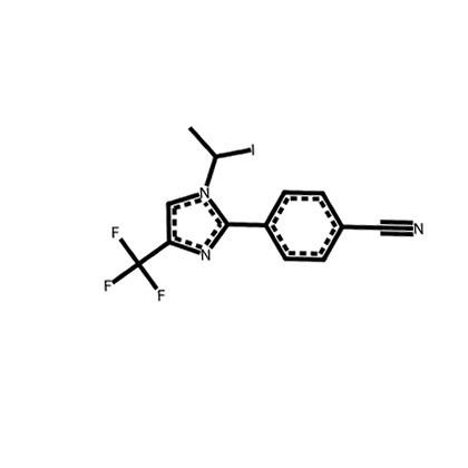 CC(I)n1cc(C(F)(F)F)nc1-c1ccc(C#N)cc1